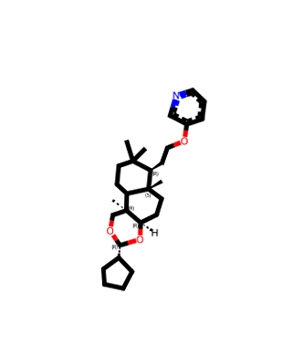 CC1(C)CCC2[C@]3(C)CO[C@@H](C4CCCC4)O[C@@H]3CC[C@@]2(C)[C@@H]1CCOc1cccnc1